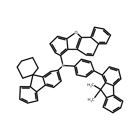 CC1(C)c2ccccc2-c2cccc(-c3ccc(N(c4ccc5c(c4)C4(CCCCC4)c4ccccc4-5)c4cccc5oc6c7ccccc7ccc6c45)cc3)c21